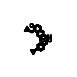 O=C1CCc2cc(NS(=O)(=O)Cc3ccc(C4CC4)cc3)c(F)cc2N1CC1CC1